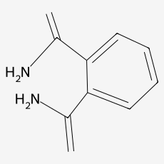 C=C(N)c1ccccc1C(=C)N